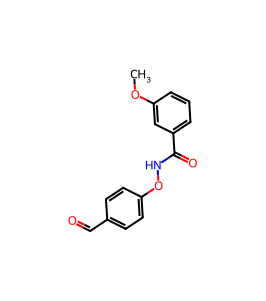 COc1cccc(C(=O)NOc2ccc(C=O)cc2)c1